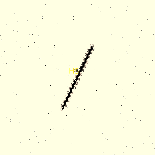 CCCCCCCCCCCCCCCCC[C@H](S)CCCCCCCCCCCC